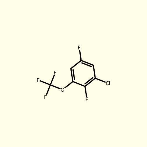 Fc1cc(Cl)c(F)c(OC(F)(F)F)c1